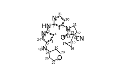 CN(c1ccc(Nc2cc(N3CC[C@@](C#N)(C4CC4)C3=O)ccn2)nc1)C1CCOCC1